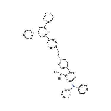 CCC1(CC)C2=C(CCC(/C=C/c3ccc(-c4cc(-c5ccccc5)cc(-c5ccccc5)c4)cc3)=C2)c2ccc(N(c3ccccc3)c3ccccc3)cc21